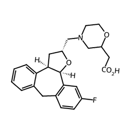 O=C(O)CC1CN(C[C@H]2C[C@@H]3c4ccccc4Cc4ccc(F)cc4[C@@H]3O2)CCO1